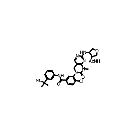 CC(=O)NC1COCC1Nc1ncc2c(n1)N(C)C(=O)N(c1cc(C(=O)Nc3cccc(C(C)(C)C#N)c3)ccc1Cl)C2